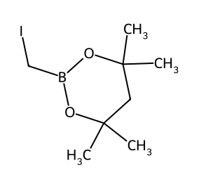 CC1(C)CC(C)(C)OB(CI)O1